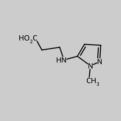 Cn1nccc1NCCC(=O)O